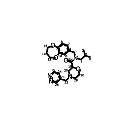 CC(C)CN(Cc1ccc2c(c1)OCCCO2)C(=O)C1CN(Cc2ccnnc2)CCO1